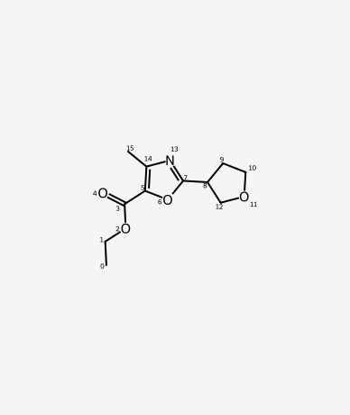 CCOC(=O)c1oc(C2CCOC2)nc1C